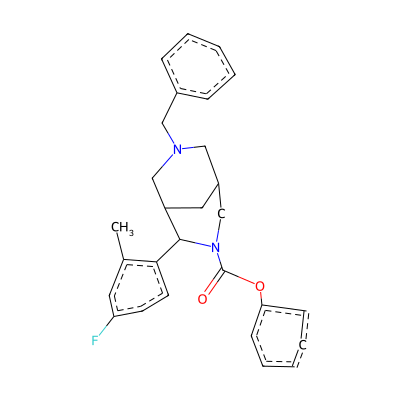 Cc1cc(F)ccc1C1C2CC(CN(Cc3ccccc3)C2)CN1C(=O)Oc1ccccc1